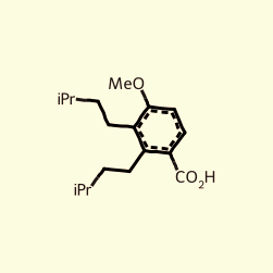 COc1ccc(C(=O)O)c(CCC(C)C)c1CCC(C)C